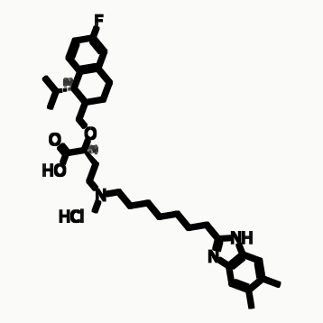 Cc1cc2nc(CCCCCCCN(C)CC[C@H](OCC3CCc4cc(F)ccc4[C@H]3C(C)C)C(=O)O)[nH]c2cc1C.Cl